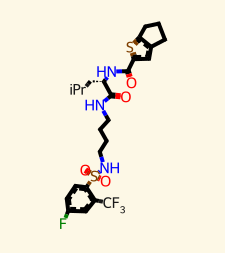 CC(C)C[C@H](NC(=O)c1cc2c(s1)CCC2)C(=O)NCCCCNS(=O)(=O)c1ccc(F)cc1C(F)(F)F